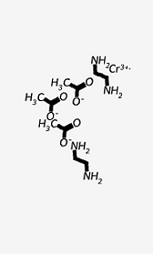 CC(=O)[O-].CC(=O)[O-].CC(=O)[O-].NCCN.NCCN.[Cr+3]